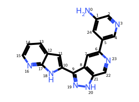 Nc1cncc(-c2cc3c(-c4cc5cccnc5[nH]4)n[nH]c3cn2)c1